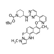 Cc1ccc2c(Nc3ccn(C)n3)c(F)ccc2c1Oc1ncccc1-c1ccnc(NC2CCCN(C(=O)OC(C)(C)C)C2)n1